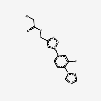 O=C(CS)NCc1cn(-c2ccc(-n3ccnc3)c(F)c2)nn1